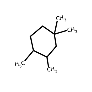 CC1CCC(C)(C)CC1C